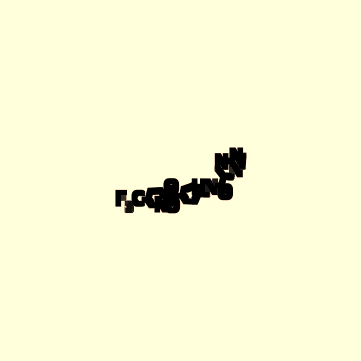 O=C(NCc1ccc(S(=O)(=O)c2ccc(C(F)(F)F)cn2)cc1)c1cnc2nccn2c1